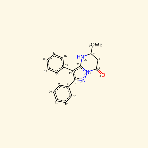 COC1CC(=O)n2nc(-c3ccccc3)c(-c3ccccc3)c2N1